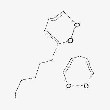 C1=COOC=C1.CCCCCC1=CC=COO1